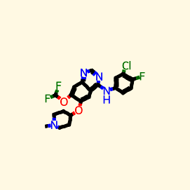 CN1CCC(Oc2cc3c(Nc4ccc(F)c(Cl)c4)ncnc3cc2OC(F)F)CC1